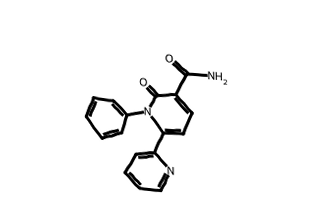 NC(=O)c1ccc(-c2ccccn2)n(-c2ccccc2)c1=O